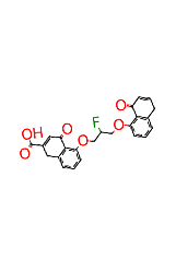 O=C(O)C1=CC(=O)c2c(cccc2OCC(F)COc2cccc3c2C(=O)C=CC3)C1